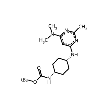 Cc1nc(N[C@H]2CC[C@@H](NC(=O)OC(C)(C)C)CC2)cc(N(C)C)n1